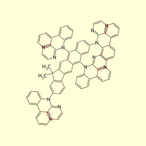 CC1(C)c2cc(N(c3cnccn3)c3ccccc3-c3ccccc3)ccc2-c2cc3c(N(c4cnccn4)c4ccccc4-c4ccccc4)c4cc(N(c5cnccn5)c5ccccc5-c5ccccc5)ccc4c(N(c4cnccn4)c4ccccc4-c4ccccc4)c3cc21